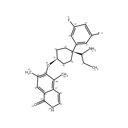 CCC(N)[C@]1(c2cc(F)cc(F)c2)CC[C@H](Oc2c(C)cc3c(=O)[nH]ccc3c2C)CC1